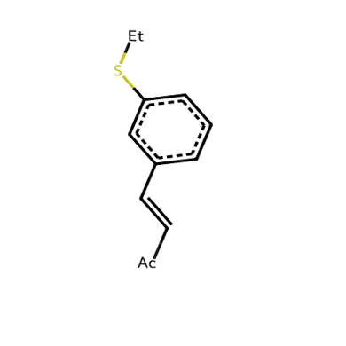 CCSc1cccc(/C=C/C(C)=O)c1